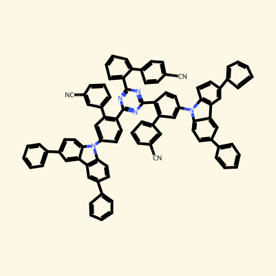 N#Cc1ccc(-c2ccccc2-c2nc(-c3ccc(-n4c5ccc(-c6ccccc6)cc5c5cc(-c6ccccc6)ccc54)cc3-c3cccc(C#N)c3)nc(-c3ccc(-n4c5ccc(-c6ccccc6)cc5c5cc(-c6ccccc6)ccc54)cc3-c3cccc(C#N)c3)n2)cc1